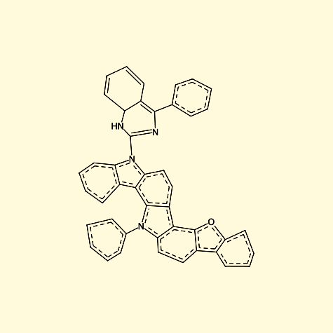 C1=CC2=C(c3ccccc3)N=C(n3c4ccccc4c4c3ccc3c5c6oc7ccccc7c6ccc5n(-c5ccccc5)c34)NC2C=C1